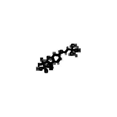 CC(C)(O)CCOc1ccc2c(Br)c(C(F)(F)P(=O)(O)O)sc2c1